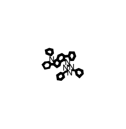 C1=Cc2c(c3ccc4c(ccc5c6ccccc6n(-c6nc(-c7ccccc7)nc(-c7ccccc7)n6)c45)c3n2-c2ccccc2)CC1